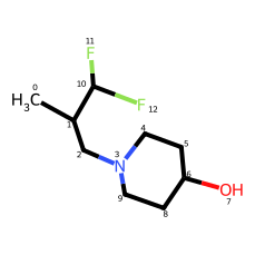 CC(CN1CCC(O)CC1)C(F)F